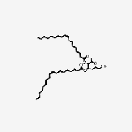 CCCCCCCC/C=C\CCCCCCCC(=O)O[C@@H](CCCO)[C@@H](OC(=O)CCCCCCC/C=C\CCCCCCCC)C(C)=O